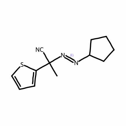 CC(C#N)(/N=N/C1CCCC1)c1cccs1